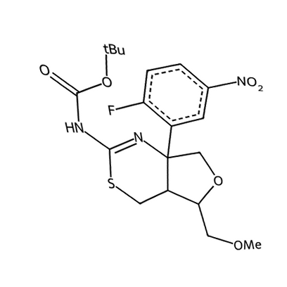 COCC1OCC2(c3cc([N+](=O)[O-])ccc3F)N=C(NC(=O)OC(C)(C)C)SCC12